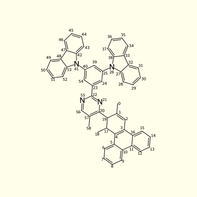 CC1=Cc2c(c3ccccc3c3ccccc23)C(C)C1c1nc(-c2cc(-n3c4ccccc4c4ccccc43)cc(-n3c4ccccc4c4ccccc43)c2)ncc1C